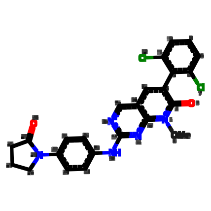 COn1c(=O)c(-c2c(Cl)cccc2Cl)cc2cnc(Nc3ccc(N4CCCC4=O)cc3)nc21